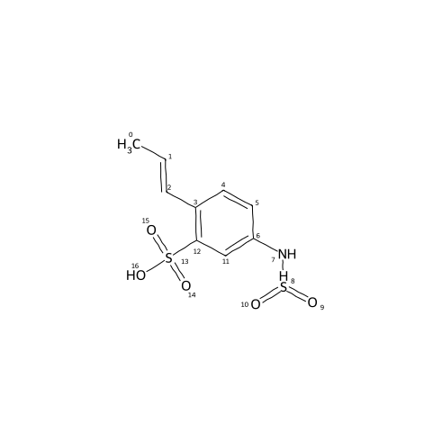 CC=Cc1ccc(N[SH](=O)=O)cc1S(=O)(=O)O